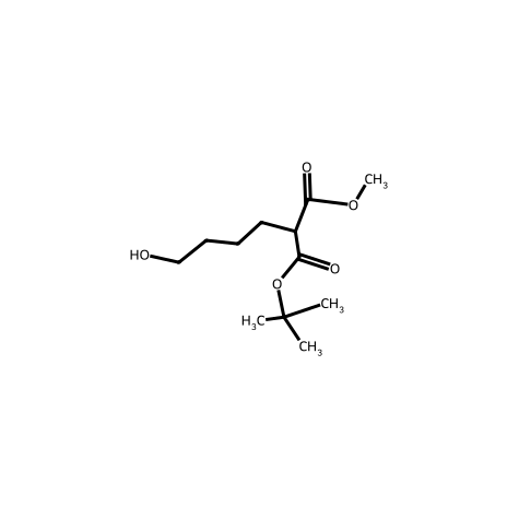 COC(=O)C(CCCCO)C(=O)OC(C)(C)C